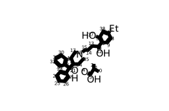 CC(C)C(=O)O.CCc1ccc(C(O)CCCN2CCC(C(O)(c3ccccc3)c3ccccc3)CC2)c(O)c1